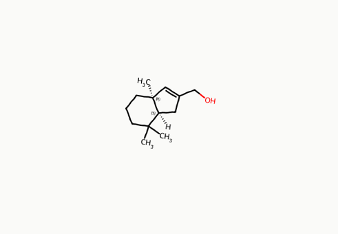 CC1(C)CCC[C@@]2(C)C=C(CO)C[C@@H]12